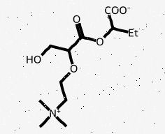 CCC(OC(=O)C(CO)OCC[N+](C)(C)C)C(=O)[O-]